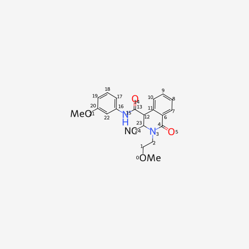 COCCN1C(=O)c2ccccc2C(C(=O)Nc2cccc(OC)c2)C1C#N